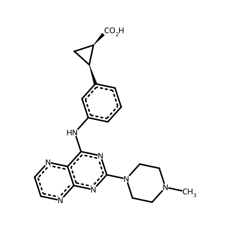 CN1CCN(c2nc(Nc3cccc([C@H]4C[C@H]4C(=O)O)c3)c3nccnc3n2)CC1